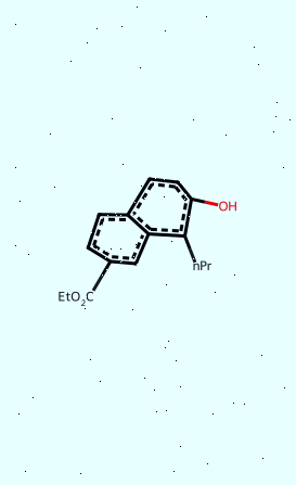 CCCc1c(O)ccc2ccc(C(=O)OCC)cc12